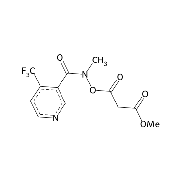 COC(=O)CC(=O)ON(C)C(=O)c1cnccc1C(F)(F)F